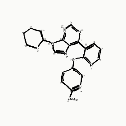 COc1ccc(Nc2ncccc2-c2ncnc3c2ncn3C2CCCCO2)cn1